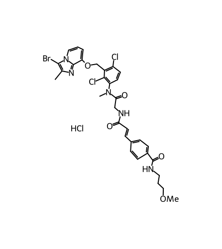 COCCCNC(=O)c1ccc(C=CC(=O)NCC(=O)N(C)c2ccc(Cl)c(COc3cccn4c(Br)c(C)nc34)c2Cl)cc1.Cl